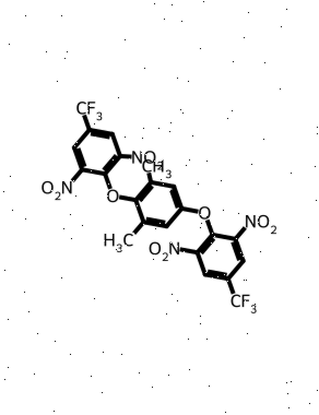 Cc1cc(Oc2c([N+](=O)[O-])cc(C(F)(F)F)cc2[N+](=O)[O-])cc(C)c1Oc1c([N+](=O)[O-])cc(C(F)(F)F)cc1[N+](=O)[O-]